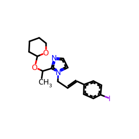 CC(OC1CCCCO1)c1nccn1C/C=C/c1ccc(I)cc1